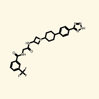 O=C(CNC(=O)c1cccc(C(F)(F)F)c1)NC1CN(C2CCC(c3ccc(-c4nn[nH]n4)cc3)CC2)C1